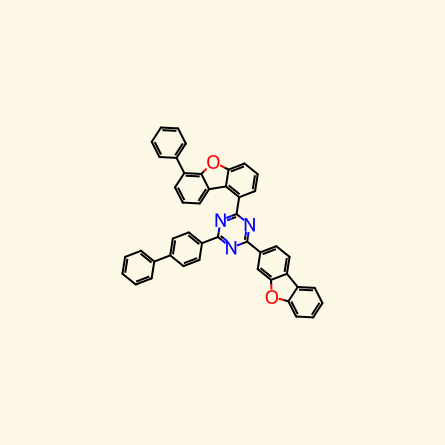 c1ccc(-c2ccc(-c3nc(-c4ccc5c(c4)oc4ccccc45)nc(-c4cccc5oc6c(-c7ccccc7)cccc6c45)n3)cc2)cc1